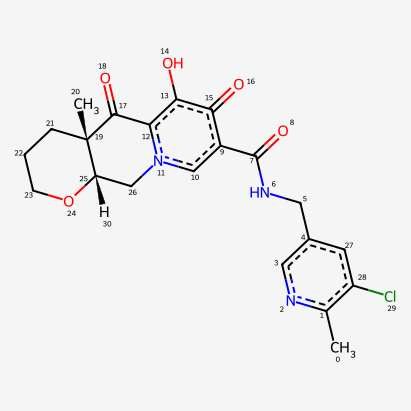 Cc1ncc(CNC(=O)c2cn3c(c(O)c2=O)C(=O)[C@@]2(C)CCCO[C@H]2C3)cc1Cl